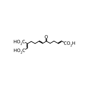 O=C(O)C=CCCC(=O)C=CCC/C(=C/C(=O)O)C(=O)O